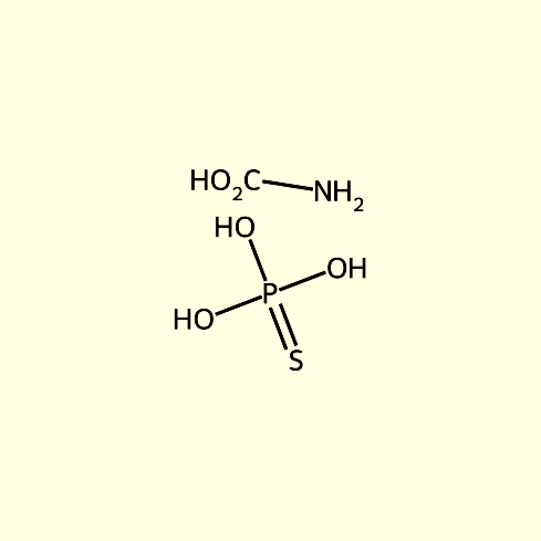 NC(=O)O.OP(O)(O)=S